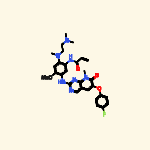 C=CC(=O)Nc1cc(Nc2ncc3cc(Oc4ccc(F)cc4)c(=O)n(C)c3n2)c(OC)cc1N(C)CCN(C)C